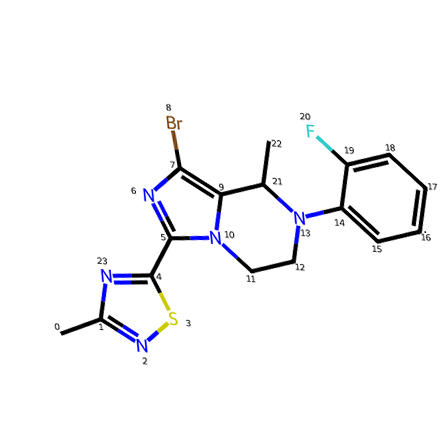 Cc1nsc(-c2nc(Br)c3n2CCN(c2c[c]ccc2F)C3C)n1